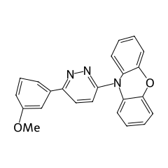 COc1cccc(-c2ccc(N3c4ccccc4Oc4ccccc43)nn2)c1